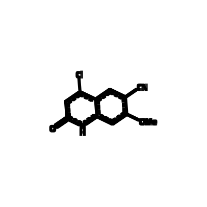 COc1cc2[nH]c(=O)cc(Cl)c2cc1C#N